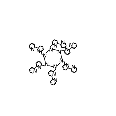 c1ccc(-c2cccc(CN3CCN(Cc4cccc(-c5ccccn5)n4)CCN(Cc4cccc(-c5ccccn5)n4)CCN(Cc4cccc(-c5ccccn5)n4)CCN(Cc4cccc(-c5ccccn5)n4)CCN(Cc4cccc(-c5ccccn5)n4)CC3)n2)nc1